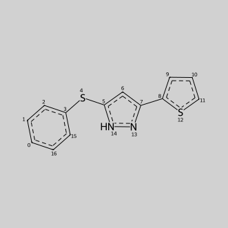 c1ccc(Sc2cc(-c3cccs3)n[nH]2)cc1